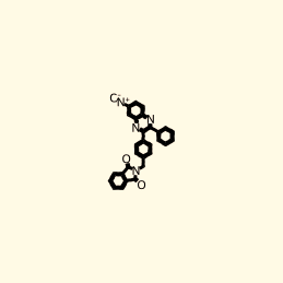 [C-]#[N+]c1ccc2nc(-c3ccccc3)c(-c3ccc(CN4C(=O)c5ccccc5C4=O)cc3)nc2c1